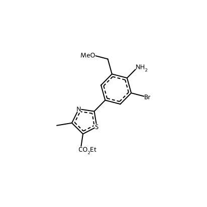 CCOC(=O)c1sc(-c2cc(Br)c(N)c(COC)c2)nc1C